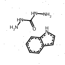 NNC(=O)NN.c1ccc2[nH]ccc2c1